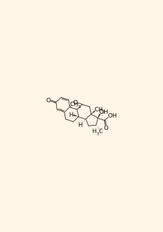 C[C@@H]1C[C@H]2[C@@H]3CCC4=CC(=O)C=C[C@]4(C)[C@]34OC4C[C@]2(C)[C@]1(O)C(=O)O